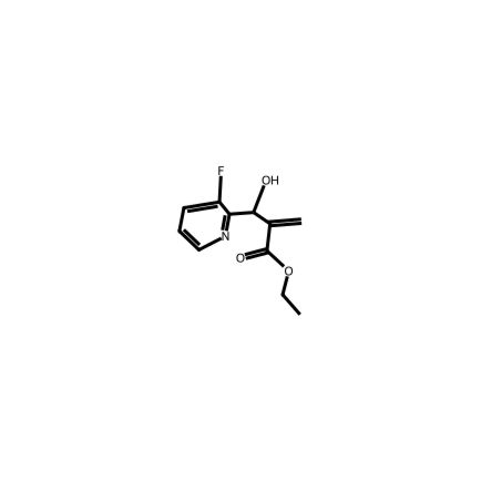 C=C(C(=O)OCC)C(O)c1ncccc1F